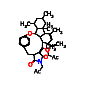 C=CC1(C)C=C(C)C2C3C(Oc4ccc(cc4)CC4C(=O)N(CC(C)=O)C(=O)/C4=C(\OCC(C)=O)C31)C1C(C)CC(C)CC21C